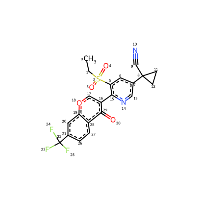 CCS(=O)(=O)c1cc(C2(C#N)CC2)cnc1-c1coc2cc(C(F)(F)F)ccc2c1=O